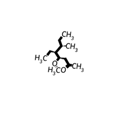 CC[C@@H]([C@@H](C)CC)[C@@H](CC(C)=O)OC